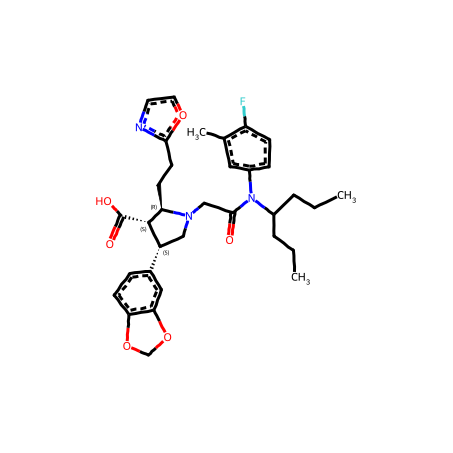 CCCC(CCC)N(C(=O)CN1C[C@H](c2ccc3c(c2)OCO3)[C@H](C(=O)O)[C@H]1CCc1ncco1)c1ccc(F)c(C)c1